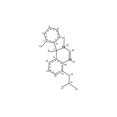 Cc1ccccc1C1(C)c2cccc(CC(C)C)c2N=CN1C